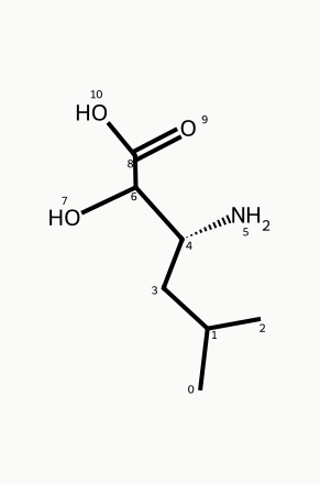 CC(C)C[C@@H](N)C(O)C(=O)O